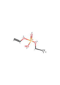 C=COP(=O)(O)OCC(F)(F)F